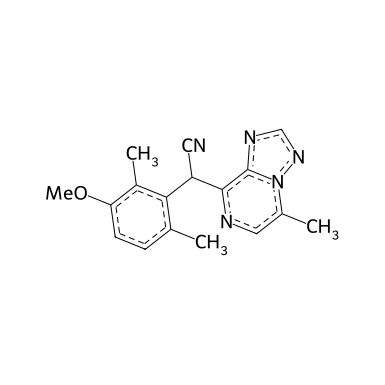 COc1ccc(C)c(C(C#N)c2ncc(C)n3ncnc23)c1C